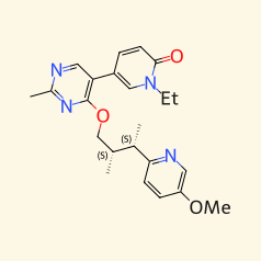 CCn1cc(-c2cnc(C)nc2OC[C@@H](C)[C@H](C)c2ccc(OC)cn2)ccc1=O